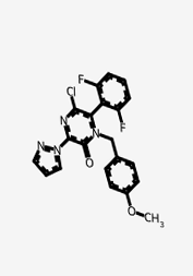 COc1ccc(Cn2c(-c3c(F)cccc3F)c(Cl)nc(-n3cccn3)c2=O)cc1